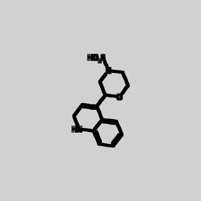 O=S(=O)(O)N1CCOC(C2=CCNc3ccccc32)C1